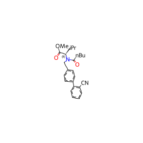 CCCCC(=O)N(Cc1ccc(-c2ccccc2C#N)cc1)[C@@H](C(=O)OC)C(C)C